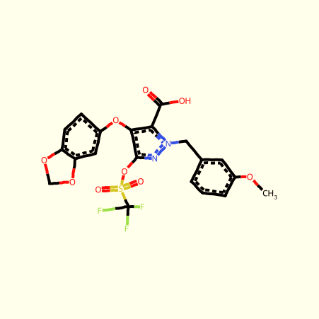 COc1cccc(Cn2nc(OS(=O)(=O)C(F)(F)F)c(Oc3ccc4c(c3)OCO4)c2C(=O)O)c1